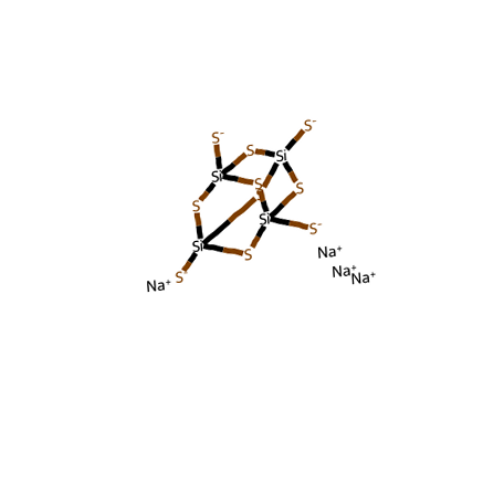 [Na+].[Na+].[Na+].[Na+].[S-][Si]12S[Si]3([S-])S[Si]([S-])(S1)S[Si]([S-])(S2)S3